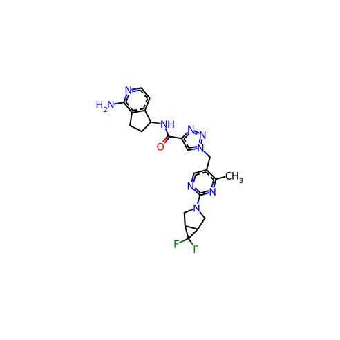 Cc1nc(N2CC3C(C2)C3(F)F)ncc1Cn1cc(C(=O)NC2CCc3c2ccnc3N)nn1